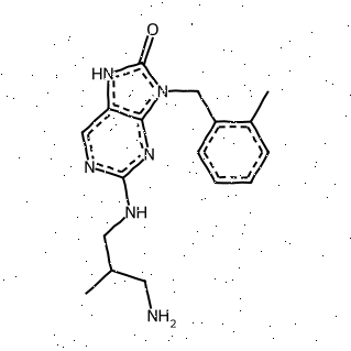 Cc1ccccc1Cn1c(=O)[nH]c2cnc(NCC(C)CN)nc21